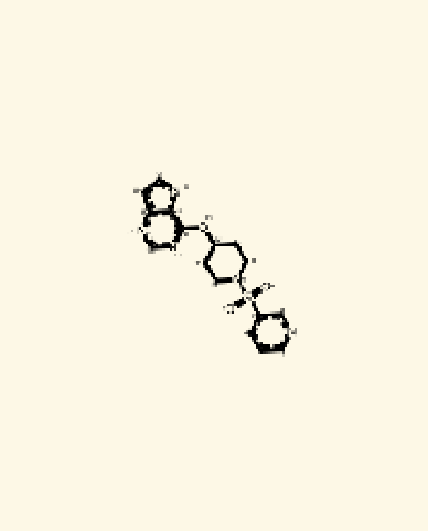 O=S(=O)(c1cccnc1)N1CCC(Oc2ncnc3ccsc23)CC1